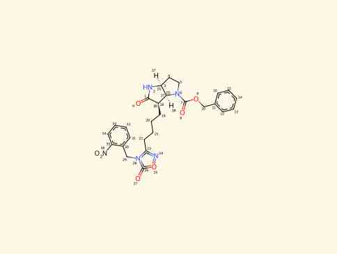 O=C1N[C@H]2CCN(C(=O)OCc3ccccc3)[C@H]2[C@H]1CCCCc1noc(=O)n1Cc1ccccc1[N+](=O)[O-]